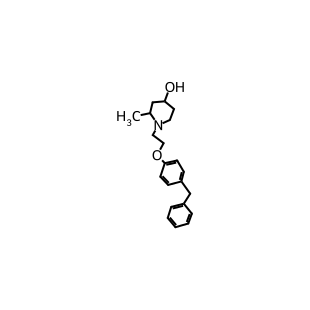 CC1CC(O)CCN1CCOc1ccc(Cc2ccccc2)cc1